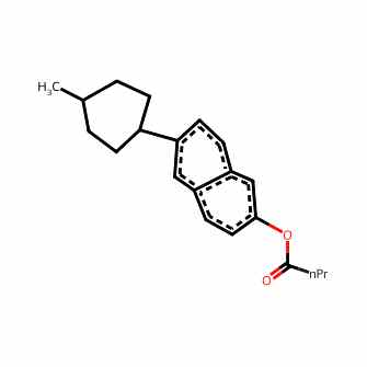 CCCC(=O)Oc1ccc2cc(C3CCC(C)CC3)ccc2c1